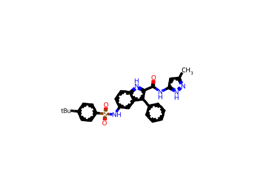 Cc1cc(NC(=O)c2[nH]c3ccc(NS(=O)(=O)c4ccc(C(C)(C)C)cc4)cc3c2-c2ccccc2)[nH]n1